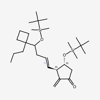 C=C1C(=O)C[C@@H](O[Si](C)(C)C(C)(C)C)[C@@H]1/C=C/CC(O[Si](C)(C)C(C)(C)C)C1(CCC)CCC1